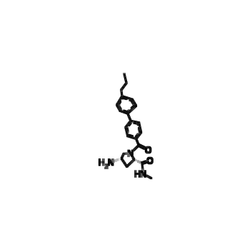 CCCc1ccc(-c2ccc(C(=O)N3C[C@@H](N)C[C@H]3C(=O)NC)cc2)cc1